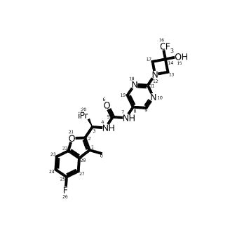 Cc1c([C@H](NC(=O)Nc2cnc(N3CC(O)(C(F)(F)F)C3)nc2)C(C)C)oc2ccc(F)cc12